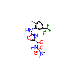 Cc1ccc(C(F)(F)F)cc1Nc1nc(C(=O)NS(=O)(=O)N(C)C)co1